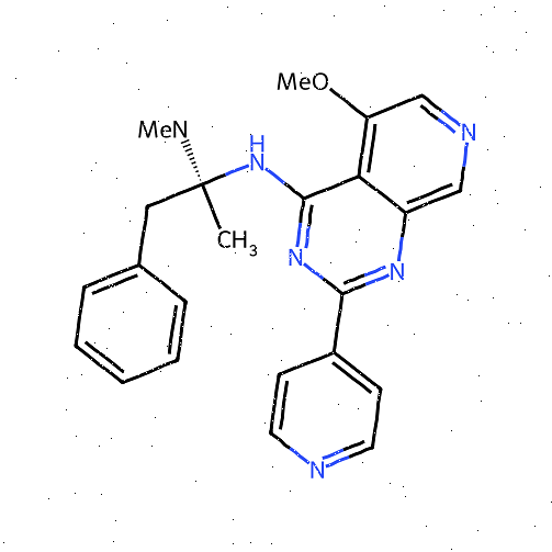 CN[C@](C)(Cc1ccccc1)Nc1nc(-c2ccncc2)nc2cncc(OC)c12